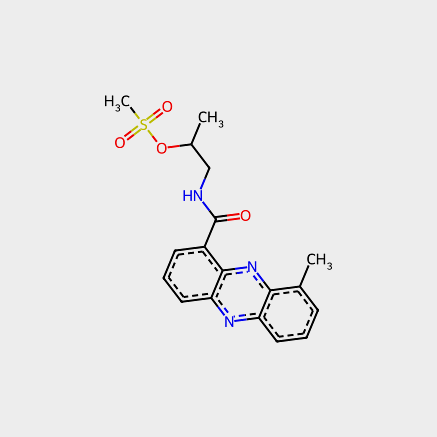 Cc1cccc2nc3cccc(C(=O)NCC(C)OS(C)(=O)=O)c3nc12